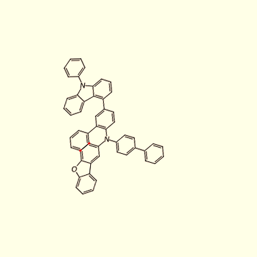 c1ccc(-c2ccc(N(c3ccc4oc5ccccc5c4c3)c3ccc(-c4cccc5c4c4ccccc4n5-c4ccccc4)cc3-c3ccccc3)cc2)cc1